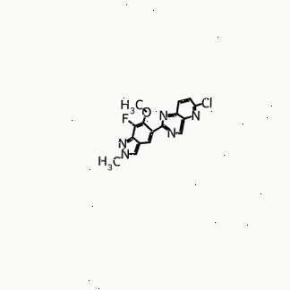 COc1c(-c2ncc3nc(Cl)ccc3n2)cc2cn(C)nc2c1F